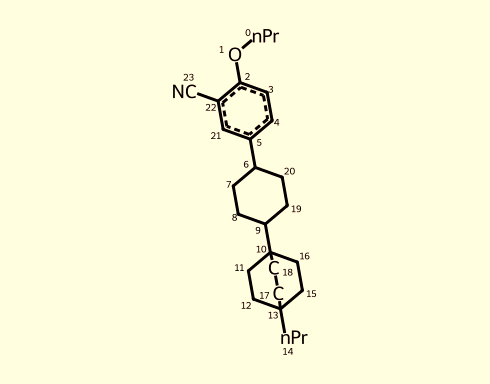 CCCOc1ccc(C2CCC(C34CCC(CCC)(CC3)CC4)CC2)cc1C#N